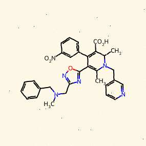 CC1=C(c2nc(CN(C)Cc3ccccc3)no2)C(c2cccc([N+](=O)[O-])c2)=C(C(=O)O)C(C)N1Cc1cccnc1